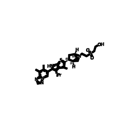 Cc1c(-c2[nH]c3sc([C@@H]4C[C@@H]5C[C@H]4CN5CCS(=O)(=O)CCO)c(C)c3c2C(C)C)cn2ncnc2c1C